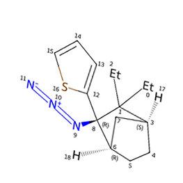 CCC1(CC)[C@H]2CC[C@H](C2)[C@]1(N=[N+]=[N-])c1cccs1